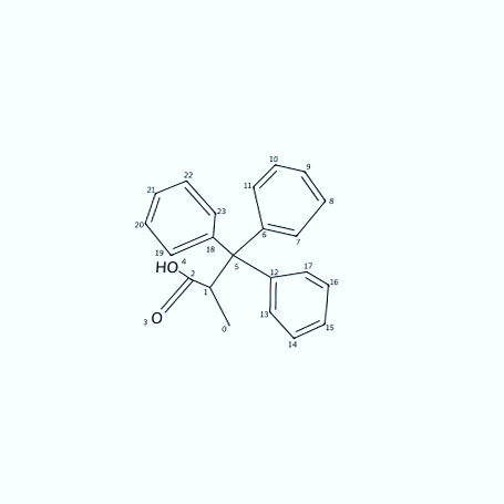 CC(C(=O)O)C(c1ccccc1)(c1ccccc1)c1ccccc1